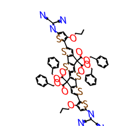 CCCOc1cc(N=C(C#N)C#N)sc1-c1cc2c(s1)-c1sc3c4c(sc3c1C2(C(=O)OCc1ccccc1)C(=O)OCc1ccccc1)-c1sc(-c2sc(N=C(C#N)C#N)cc2OCCC)cc1C4(C(=O)OCc1ccccc1)C(=O)OCc1ccccc1